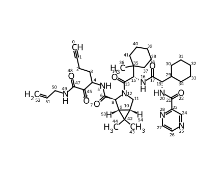 C#CCCC(NC(=O)[C@@H]1[C@@H]2[C@H](CN1C(=O)[C@@H](NC(=O)[C@@H](NC(=O)c1cnccn1)C1CCCCC1)C1(C)CCCCC1)C2(C)C)C(=O)C(=O)NCC=C